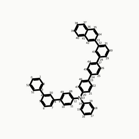 c1ccc(-c2cccc(-c3ccc(N(c4ccccc4)c4ccc(-c5ccc(-c6cccc(-c7ccc8ccccc8c7)c6)cc5)cc4)cc3)c2)cc1